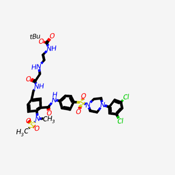 CN(c1ccc(CNC(=O)CNCCNC(=O)OC(C)(C)C)cc1C(=O)Nc1ccc(S(=O)(=O)N2CCN(c3cc(Cl)cc(Cl)c3)CC2)cc1)S(C)(=O)=O